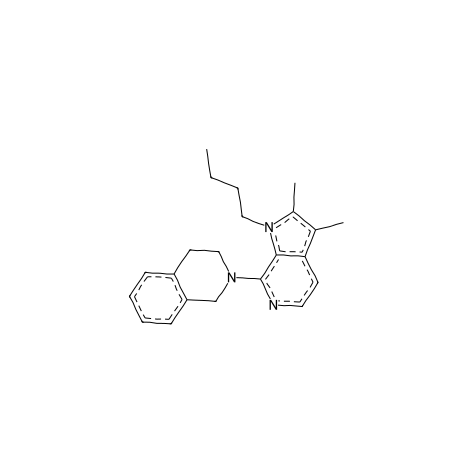 CCCCn1c(C)c(C)c2ccnc(N3CCc4ccccc4C3)c21